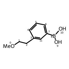 COCCc1cccc(B(O)O)c1